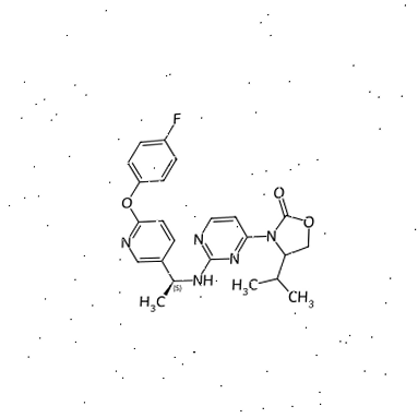 CC(C)C1COC(=O)N1c1ccnc(N[C@@H](C)c2ccc(Oc3ccc(F)cc3)nc2)n1